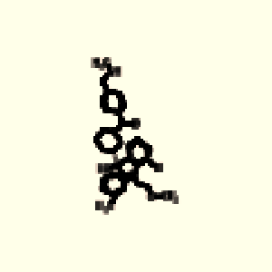 CNCc1ccc(C(=O)N2CCC[C@@H](C(O)(CCCCOC)c3cccc(Cl)c3Cc3cccc(C)c3)C2)cc1